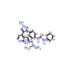 CCn1cc(-c2ccnc3[nH]c(CN(C)C)cc23)c(-c2ccc(NC(=O)Nc3ccccc3)cc2)n1